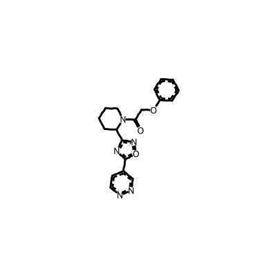 O=C(COc1ccccc1)N1CCCCC1c1noc(-c2ccnnc2)n1